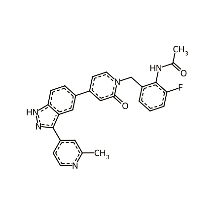 CC(=O)Nc1c(F)cccc1Cn1ccc(-c2ccc3[nH]nc(-c4ccnc(C)c4)c3c2)cc1=O